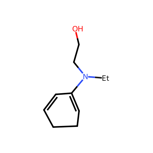 CCN(CCO)C1=CCCC=C1